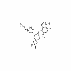 COCCn1cc([C@H]2CC3(CCN2Cc2c(OC)cc(C)c4[nH]ccc24)CC(F)(F)C3)cn1